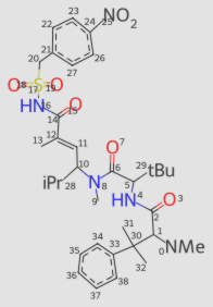 CNC(C(=O)NC(C(=O)N(C)C(/C=C(\C)C(=O)NS(=O)(=O)Cc1ccc([N+](=O)[O-])cc1)C(C)C)C(C)(C)C)C(C)(C)c1ccccc1